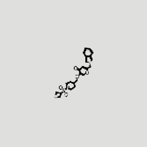 O=c1cc(Cn2cc3ccccc3c2)occ1OCC1CCN(S(=O)(=O)C2COC2)CC1